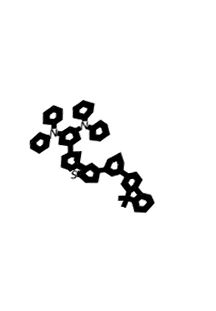 CC1(C)c2ccccc2-c2ccc(-c3cccc(-c4ccc5sc6ccc(-c7cc(N(c8ccccc8)c8ccccc8)cc(N(c8ccccc8)c8ccccc8)c7)cc6c5c4)c3)cc21